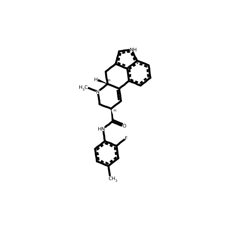 Cc1ccc(NC(=O)[C@@H]2C=C3c4cccc5[nH]cc(c45)C[C@H]3N(C)C2)c(F)c1